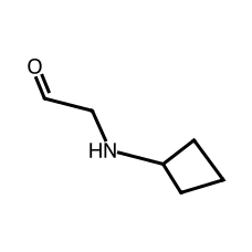 O=CCNC1CCC1